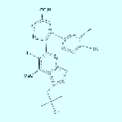 COc1c(F)c(-c2ccc(C(=O)O)cc2-c2ccc(C#N)c(F)c2)cc2cnn(CC(C)(C)O)c12